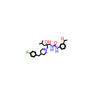 CC(=O)c1cccc(NC(=O)NC[C@@](O)(CC(C)C)CN2CCC(Cc3ccc(F)cc3)CC2)c1